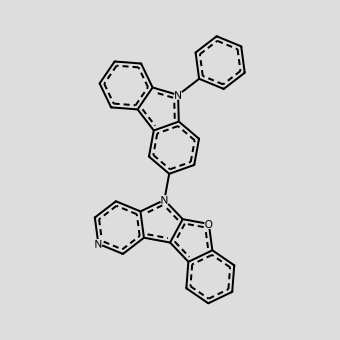 c1ccc(-n2c3ccccc3c3cc(-n4c5ccncc5c5c6ccccc6oc54)ccc32)cc1